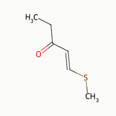 CCC(=O)C=CSC